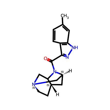 Cc1ccc2c(C(=O)N3C4C[N@]5CC[C@H]4C[C@H]3C5)n[nH]c2c1